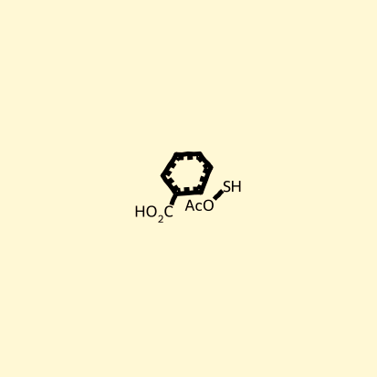 CC(=O)OS.O=C(O)c1ccccc1